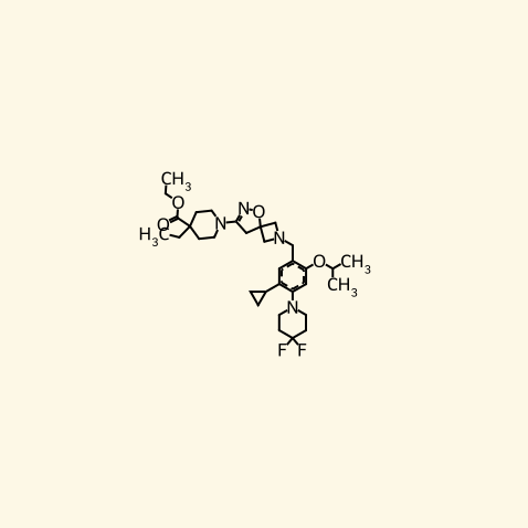 CCOC(=O)C1(CC)CCN(C2=NOC3(C2)CN(Cc2cc(C4CC4)c(N4CCC(F)(F)CC4)cc2OC(C)C)C3)CC1